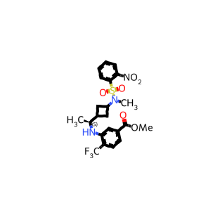 COC(=O)c1ccc(C(F)(F)F)c(N[C@@H](C)C2CC(N(C)S(=O)(=O)c3ccccc3[N+](=O)[O-])C2)c1